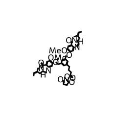 C/C=C1\C[C@H]2C=Nc3cc(OCc4cc(CCCC(=O)ON5C(=O)CCC5=O)cc(COc5cc6c(cc5OC)C(=O)N5C/C(=C/C)C[C@H]5C=N6)c4)c(OC)cc3C(=O)N2C1